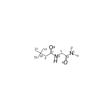 CN(C)C(=O)CNC(=O)CC(C)(C)C